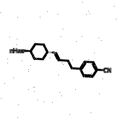 CCCCCC[C@H]1CC[C@H](C=CCCc2ccc(C#N)cc2)CC1